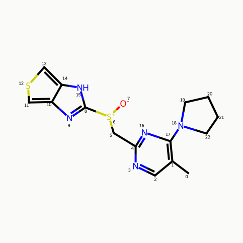 Cc1cnc(C[S+]([O-])c2nc3cscc3[nH]2)nc1N1CCCC1